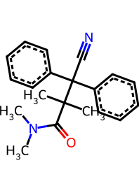 CN(C)C(=O)C(C)(C)C(C#N)(c1ccccc1)c1ccccc1